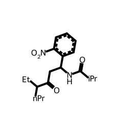 CCCC(CC)C(=O)CC(NC(=O)C(C)C)c1ccccc1[N+](=O)[O-]